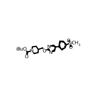 CC(C)COC(=O)N1CCC(COc2ncc(-c3ccc(S(C)(=O)=O)cc3)cn2)CC1